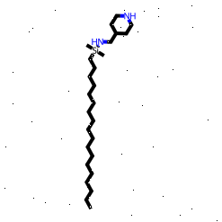 CCCCCCCCCCCCCCCCCC[Si](C)(C)NCC1CCNCC1